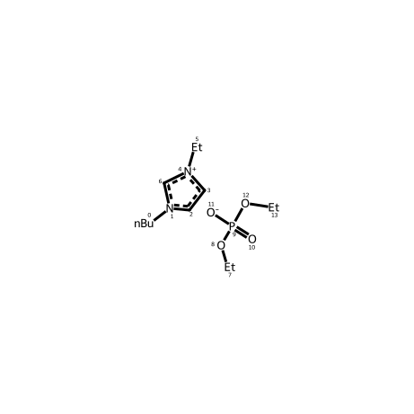 CCCCn1cc[n+](CC)c1.CCOP(=O)([O-])OCC